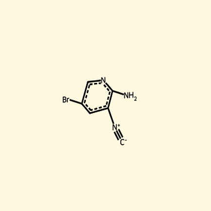 [C-]#[N+]c1cc(Br)cnc1N